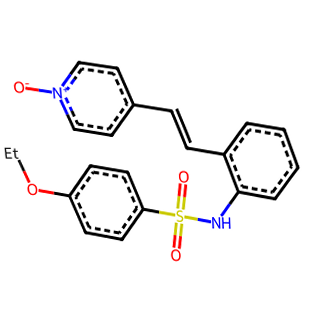 CCOc1ccc(S(=O)(=O)Nc2ccccc2C=Cc2cc[n+]([O-])cc2)cc1